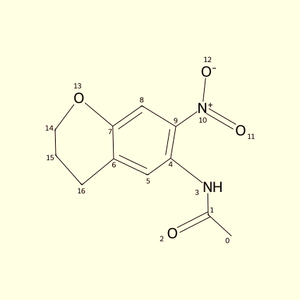 CC(=O)Nc1cc2c(cc1[N+](=O)[O-])OCCC2